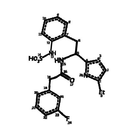 CCc1csc(C(Cc2ccccc2NS(=O)(=O)O)NC(=O)Cc2cccc(F)c2)n1